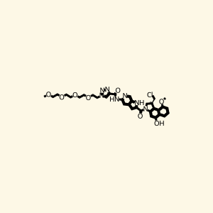 COCCOCCOCCOCCn1cc(C(=O)Nc2cc3cc(C(=O)N4C[C@@H](CCl)c5c4cc(O)c4cccc(OC)c54)[nH]c3cn2)nn1